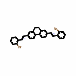 Brc1ccccc1/C=C/c1ccc2c(c1)CCc1cc(/C=C/c3ccccc3Br)ccc1-2